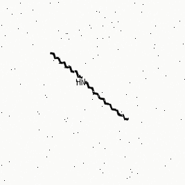 CCCCCCCCCCCCCCCNCCCCCCCCCCCC